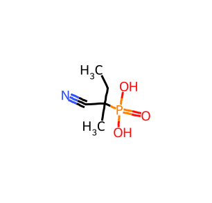 CCC(C)(C#N)P(=O)(O)O